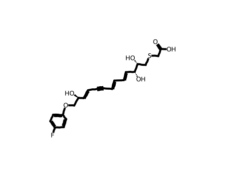 O=C(O)CSC[C@@H](O)[C@H](O)C=CC=CC#CC=C[C@H](O)COc1ccc(F)cc1